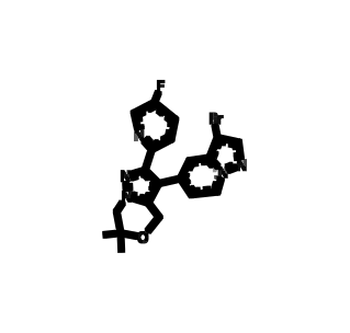 CC1(C)Cn2nc(-c3ccc(F)cn3)c(-c3ccn4ncc(Br)c4c3)c2CO1